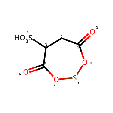 O=C1CC(S(=O)(=O)O)C(=O)OSO1